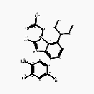 CCC(CC)c1cccc2nc(Cl)n(CC(=O)O)c12.Nc1ccc(Br)cc1Cl